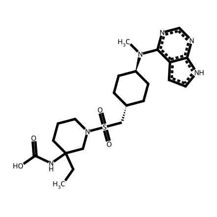 CCC1(NC(=O)O)CCCN(S(=O)(=O)C[C@H]2CC[C@H](N(C)c3ncnc4[nH]ccc34)CC2)C1